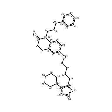 O=C1CCc2cc(OCCCCc3nnnn3C3CCCCC3)ccc2N1CCCc1ccccc1